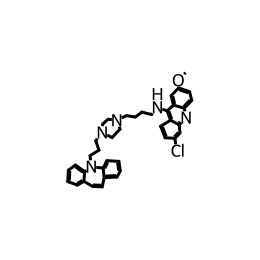 COc1ccc2nc3cc(Cl)ccc3c(NCCCCN3CCN(CCCN4c5ccccc5C=Cc5ccccc54)CC3)c2c1